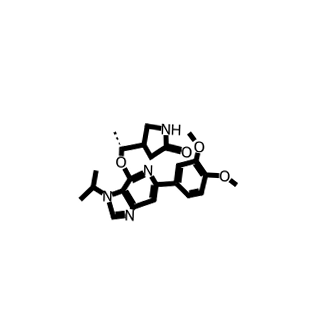 COc1ccc(-c2cc3ncn(C(C)C)c3c(O[C@H](C)C3CNC(=O)C3)n2)cc1OC